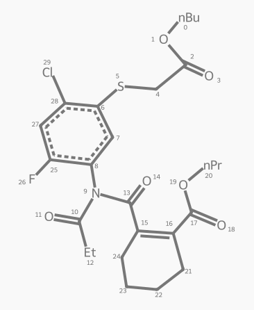 CCCCOC(=O)CSc1cc(N(C(=O)CC)C(=O)C2=C(C(=O)OCCC)CCCC2)c(F)cc1Cl